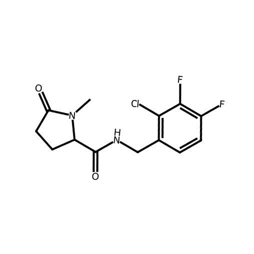 CN1C(=O)CCC1C(=O)NCc1ccc(F)c(F)c1Cl